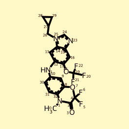 CN1C(=O)C(F)(F)Oc2cc(Nc3cc4c(cc3OC(F)(F)F)ncn4CC3CC3)ccc21